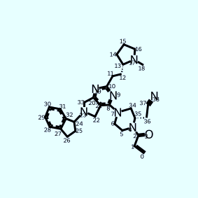 C=CC(=O)N1CCN(c2nc(CC[C@@H]3CCCN3C)nc3c2CN(C2CCc4ccccc42)C3)C[C@@H]1CC#N